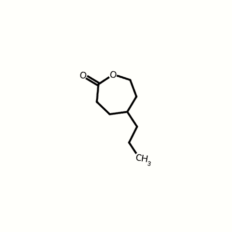 CCCC1CCOC(=O)CC1